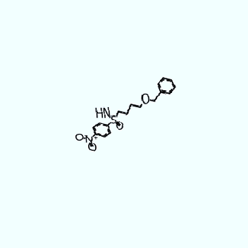 N=S(=O)(CCCCOCc1ccccc1)c1ccc([N+](=O)[O-])cc1